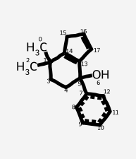 CC1(C)CCC(O)(c2ccccc2)C2=C1CC=C2